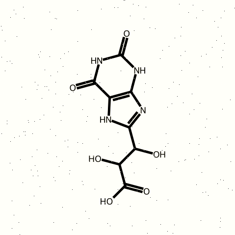 O=C(O)C(O)C(O)c1nc2[nH]c(=O)[nH]c(=O)c2[nH]1